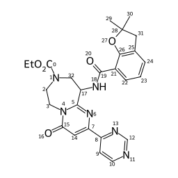 CCOC(=O)N1CCn2c(nc(-c3ccncn3)cc2=O)C(NC(=O)c2cccc3c2OC(C)(C)C3)C1